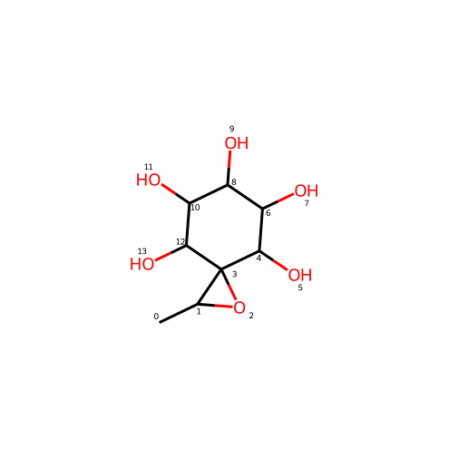 CC1OC12C(O)C(O)C(O)C(O)C2O